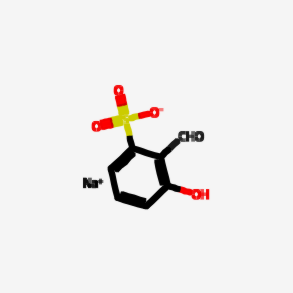 O=Cc1c(O)cccc1S(=O)(=O)[O-].[Na+]